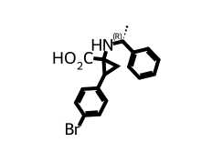 C[C@@H](NC1(C(=O)O)CC1c1ccc(Br)cc1)c1ccccc1